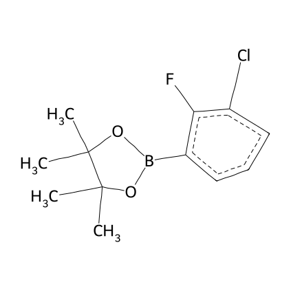 CC1(C)OB(c2cccc(Cl)c2F)OC1(C)C